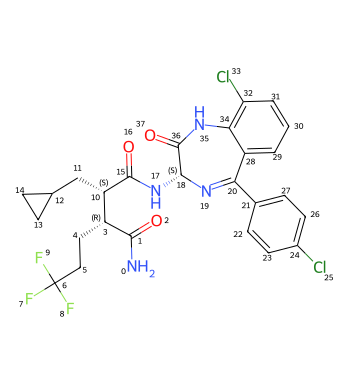 NC(=O)[C@H](CCC(F)(F)F)[C@H](CC1CC1)C(=O)N[C@H]1N=C(c2ccc(Cl)cc2)c2cccc(Cl)c2NC1=O